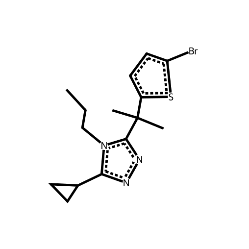 CCCn1c(C2CC2)nnc1C(C)(C)c1ccc(Br)s1